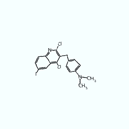 CN(C)c1ccc(Cc2c(Cl)nc3ccc(I)cc3c2Cl)cc1